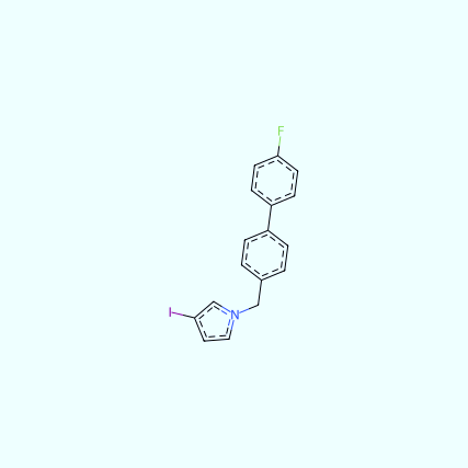 Fc1ccc(-c2ccc(Cn3ccc(I)c3)cc2)cc1